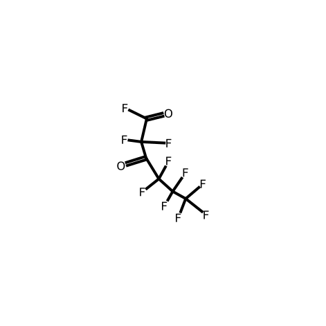 O=C(F)C(F)(F)C(=O)C(F)(F)C(F)(F)C(F)(F)F